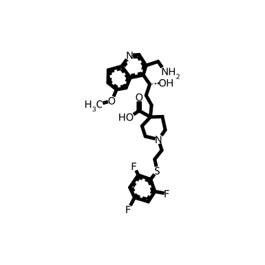 COc1ccc2ncc(CN)c([C@H](O)CCC3(C(=O)O)CCN(CCSc4c(F)cc(F)cc4F)CC3)c2c1